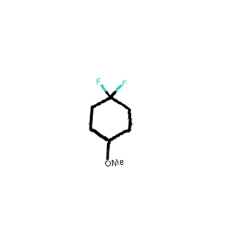 COC1CCC(F)(F)CC1